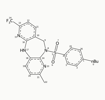 CCCCc1ccc(S(=O)(=O)N2Cc3ccc(C(F)(F)F)nc3Nc3ccc(C)nc32)cc1